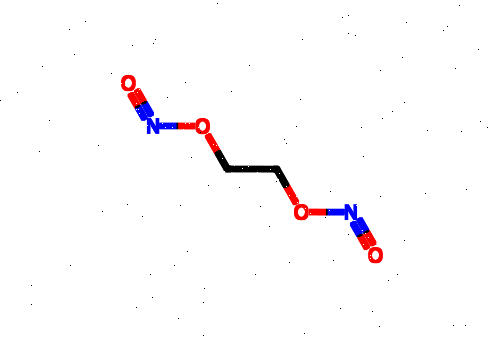 O=NOCCON=O